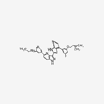 CCNCc1cncc(-c2ccc3[nH]nc(-c4cc5c(-c6cc(F)cc(OCCN(C)C)c6)ccnc5[nH]4)c3n2)c1